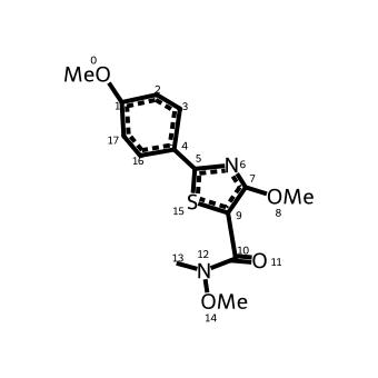 COc1ccc(-c2nc(OC)c(C(=O)N(C)OC)s2)cc1